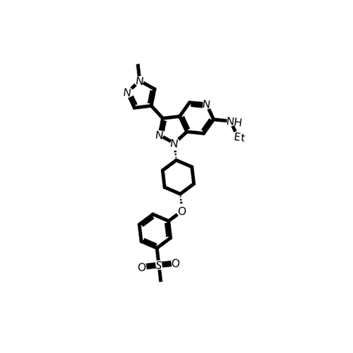 CCNc1cc2c(cn1)c(-c1cnn(C)c1)nn2[C@H]1CC[C@@H](Oc2cccc(S(C)(=O)=O)c2)CC1